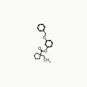 CCC1(C(=O)Oc2cccc(OCc3ccccc3)c2)CCCC1